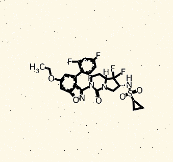 CCOc1cc(-c2c(F)cc(F)cc2F)c2c(N3CC[C@H]4N(C[C@@H](NS(=O)(=O)C5CC5)C4(F)F)C3=O)noc2c1